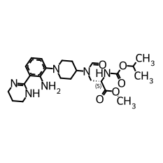 COC(=O)[C@H](CN(C=O)C1CCN(c2cccc(C3=NCCCN3)c2N)CC1)NC(=O)OC(C)C